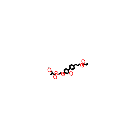 C=CC(=O)OCCCc1ccc(-c2ccc(OCCOC(=O)C(=C)COC)cc2OC)cc1